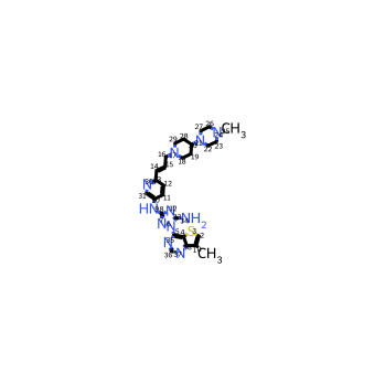 Cc1csc2c(-n3nc(Nc4ccc(C=CCN5CCC(N6CCN(C)CC6)CC5)nc4)nc3N)ncnc12